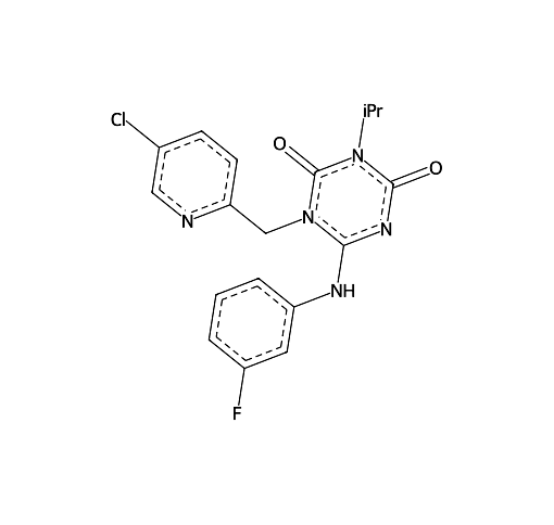 CC(C)n1c(=O)nc(Nc2cccc(F)c2)n(Cc2ccc(Cl)cn2)c1=O